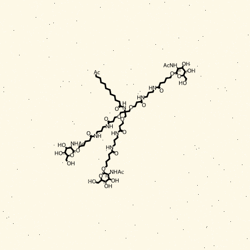 CC(=O)CCCCCCCCCCC(=O)NC(COCCC(=O)NCCCNC(=O)CCCCO[C@@H]1OC(CO)[C@@H](O)C(O)[C@@H]1NC(C)=O)(COCCC(=O)NCCCNC(=O)CCCCO[C@@H]1OC(CO)[C@@H](O)C(O)[C@@H]1NC(C)=O)COCCC(=O)NCCCNC(=O)CCCCO[C@@H]1OC(CO)[C@@H](O)C(O)[C@@H]1NC(C)=O